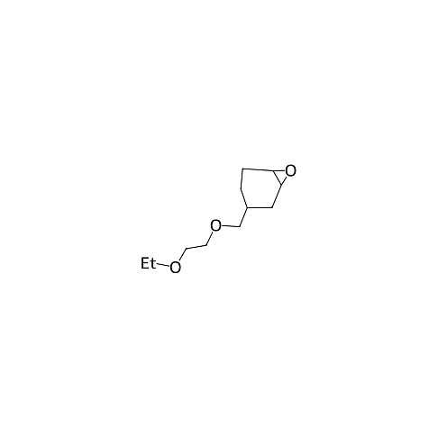 [CH2]COCCOCC1CCC2OC2C1